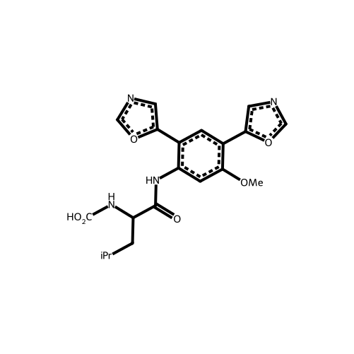 COc1cc(NC(=O)C(CC(C)C)NC(=O)O)c(-c2cnco2)cc1-c1cnco1